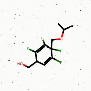 CC(C)OCC1(F)C(F)=CC(CO)C(F)=C1F